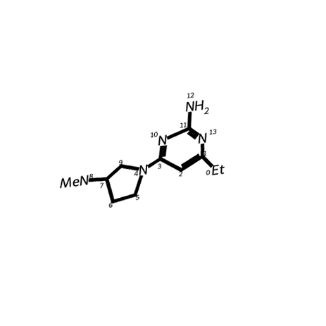 CCc1cc(N2CCC(NC)C2)nc(N)n1